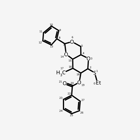 CCSC1OC2COC(c3ccccc3)OC2C(C)C1OC(=O)c1ccccc1